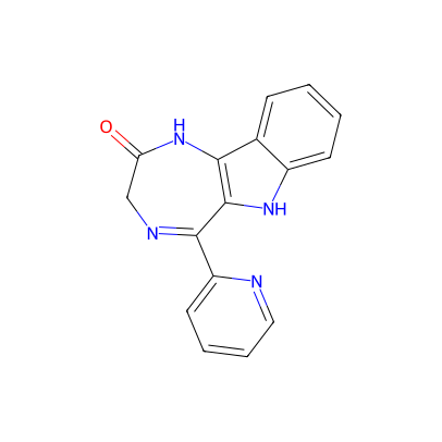 O=C1CN=C(c2ccccn2)c2[nH]c3ccccc3c2N1